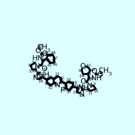 COC(=O)N[C@H](C(=O)N1CCC[C@H]1c1ncc(-c2ccc(-c3ccc4cc(-c5cnc([C@@H]6CCCN6C(=O)[C@H](NC(=O)OC)c6ccccc6)[nH]5)ccc4n3)c(F)c2)[nH]1)C1CCOCC1